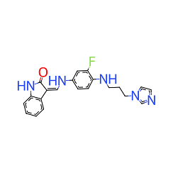 O=C1Nc2ccccc2/C1=C/Nc1ccc(NCCCn2ccnc2)c(F)c1